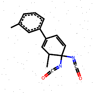 Cc1cccc(C2=CC(C)C(N=C=O)(N=C=O)C=C2)c1